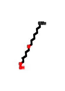 COCCCCCCCOCCC[CH]COO